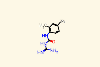 Cc1cc(C(C)C)ccc1NC(=O)NC(=N)N